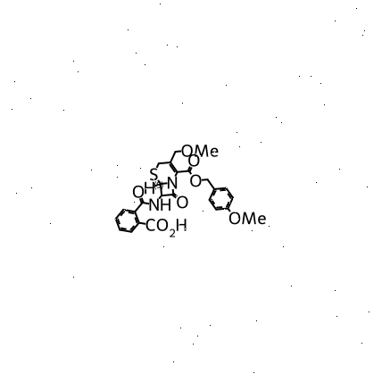 COCC1=C(C(=O)OCc2ccc(OC)cc2)N2C(=O)C(NC(=O)c3ccccc3C(=O)O)[C@@H]2SC1